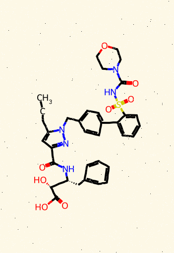 CCCc1cc(C(=O)N[C@H](Cc2ccccc2)[C@@H](O)C(=O)O)nn1Cc1ccc(-c2ccccc2S(=O)(=O)NC(=O)N2CCOCC2)cc1